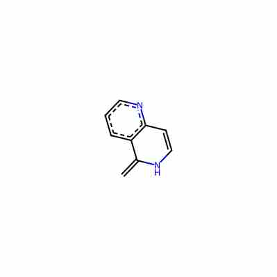 C=C1NC=Cc2ncccc21